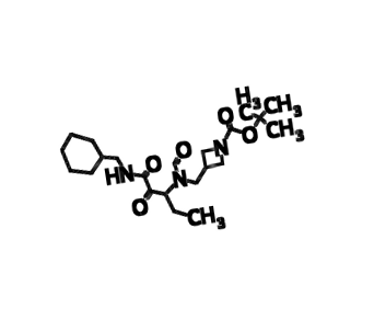 CCC(C(=O)C(=O)NCC1CCCCC1)N(C=O)CC1CN(C(=O)OC(C)(C)C)C1